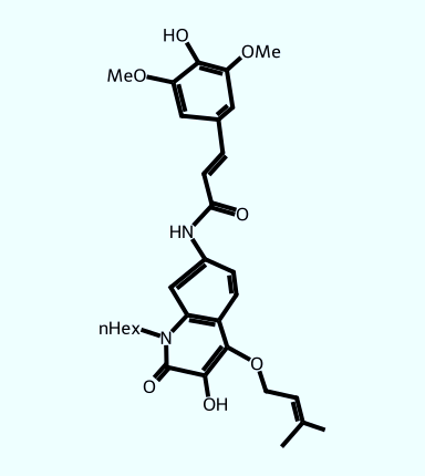 CCCCCCn1c(=O)c(O)c(OCC=C(C)C)c2ccc(NC(=O)C=Cc3cc(OC)c(O)c(OC)c3)cc21